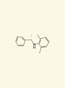 Cc1cccc(C)c1N[C@@H](C)c1ccccc1